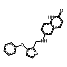 O=c1ccc2cc(NCc3sccc3Oc3ccccc3)ccc2[nH]1